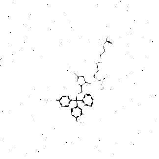 COc1ccc(C(OCC2OC(C)CC2OP(OCCOCCNC(=O)C(F)(F)F)N(C(C)C)C(C)C)(c2ccccc2)c2ccc(OC)cc2)cc1